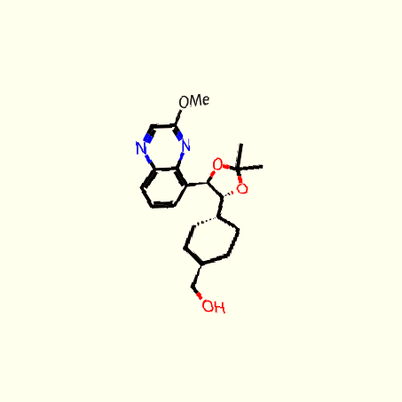 COc1cnc2cccc([C@H]3OC(C)(C)O[C@@H]3[C@H]3CC[C@H](CO)CC3)c2n1